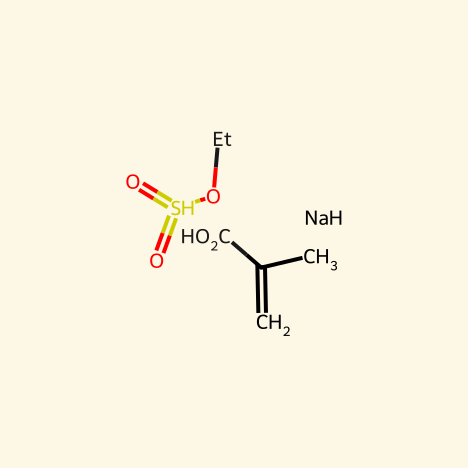 C=C(C)C(=O)O.CCO[SH](=O)=O.[NaH]